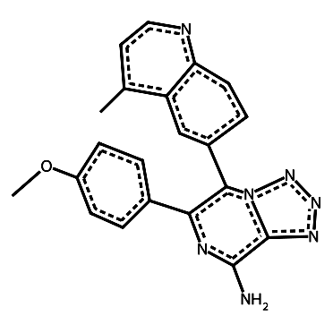 COc1ccc(-c2nc(N)c3nnnn3c2-c2ccc3nccc(C)c3c2)cc1